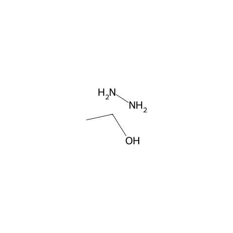 CCO.NN